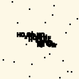 C[C@H](COc1cc2ncnc(Nc3ccc(Br)cc3F)c2cc1[N+](=O)[O-])NC(=O)O